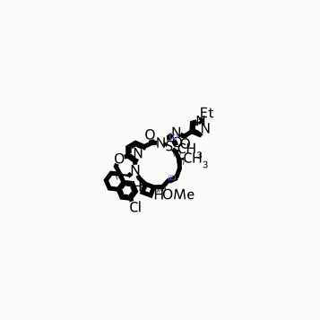 CCn1cc(C(=O)/N=C\S2(=O)=NC(=O)c3ccc4c(n3)N(C[C@@H]3CC[C@H]3[C@@H](OC)/C=C/C[C@H](C)[C@H]2C)C[C@@]2(CCCc3cc(Cl)ccc32)CO4)cn1